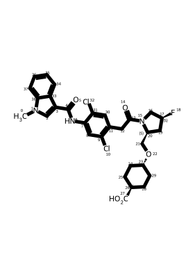 Cn1cc(C(=O)Nc2cc(Cl)c(CC(=O)N3C[C@@H](F)C[C@H]3CO[C@H]3CC[C@H](C(=O)O)CC3)cc2Cl)c2ccccc21